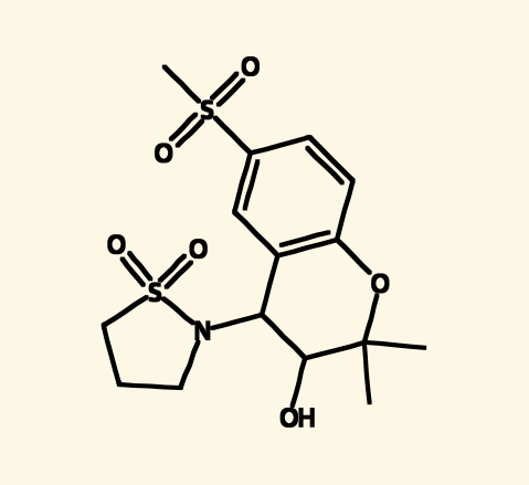 CC1(C)Oc2ccc(S(C)(=O)=O)cc2C(N2CCCS2(=O)=O)C1O